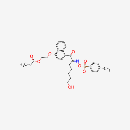 C=CC(=O)OCCOc1ccc(C(=O)/C(CCCCCO)=N/OS(=O)(=O)c2ccc(C(F)(F)F)cc2)c2ccccc12